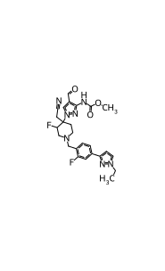 CCn1ccc(-c2ccc(CN3CCC(CC#N)(n4cc(C=O)c(NC(=O)OC)n4)C(F)C3)c(F)c2)n1